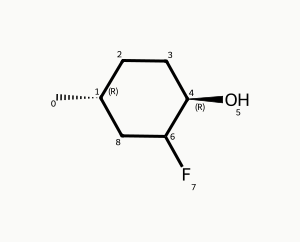 C[C@@H]1CC[C@@H](O)C(F)C1